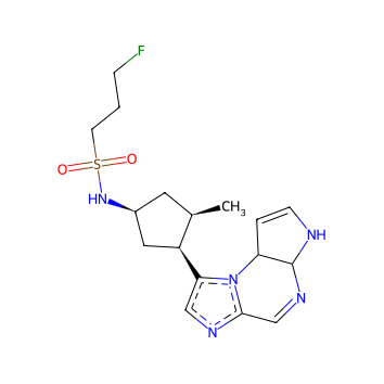 C[C@@H]1C[C@H](NS(=O)(=O)CCCF)C[C@@H]1c1cnc2n1C1C=CNC1N=C2